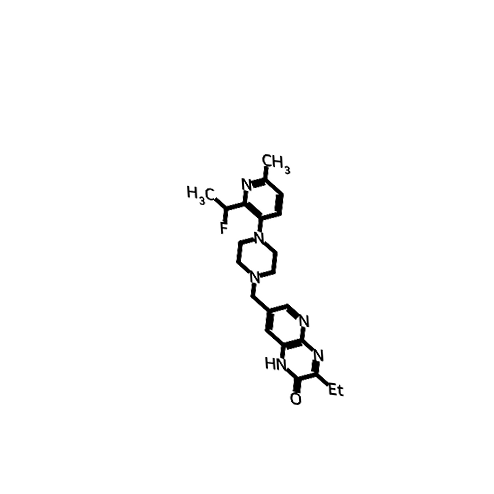 CCc1nc2ncc(CN3CCN(c4ccc(C)nc4C(C)F)CC3)cc2[nH]c1=O